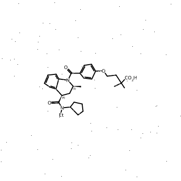 CCN(C(=O)[C@@H]1C[C@H](C)N(C(=O)c2ccc(OCCC(C)(C)C(=O)O)cc2)c2ccccc21)C1CCCC1